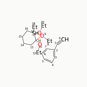 C#Cc1ccccc1.CCOC1(OCC)CCCC[Si]1(CC)OCC